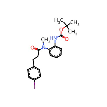 CN(C(=O)CCc1ccc(I)cc1)c1ccccc1NC(=O)OC(C)(C)C